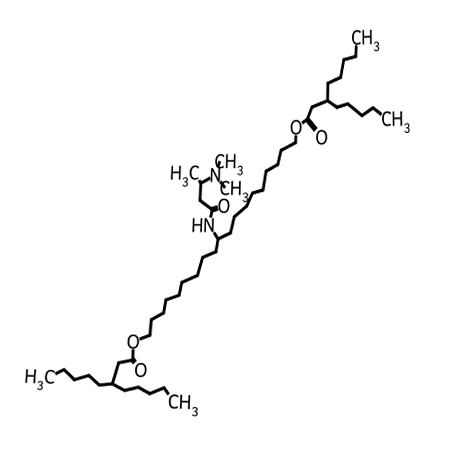 CCCCCC(CCCCC)CC(=O)OCCCCCCCCCC(CCCCCCCCCOC(=O)CC(CCCCC)CCCCC)NC(=O)CC(C)N(C)C